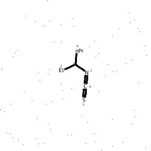 CCCC(CC)N=C=S